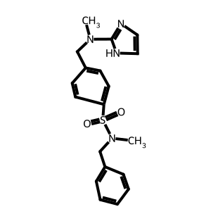 CN(Cc1ccc(S(=O)(=O)N(C)Cc2ccccc2)cc1)c1ncc[nH]1